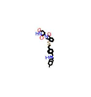 CC1CC2CC(C1)CC(C)(NCc1ccc(CCSc3cccc4c3CN(C3CCC(=O)NC3=O)C4=O)cc1)C2